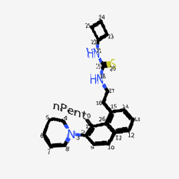 CCCCCc1c(N2CCCCC2)ccc2cccc(CCNC(=S)NC3CCC3)c12